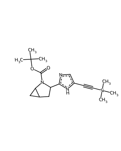 CC(C)(C)OC(=O)N1C(c2ncc(C#C[Si](C)(C)C)[nH]2)CC2CC21